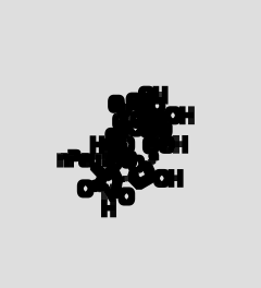 CCCCCOP(=O)(O)OP(=O)(O)OP(=O)(O)OP(=O)(O)OP(=O)(O)OP(=O)(O)OC[C@H]1O[C@@H](C2C=C(C)C(=O)NC2=O)CC1O